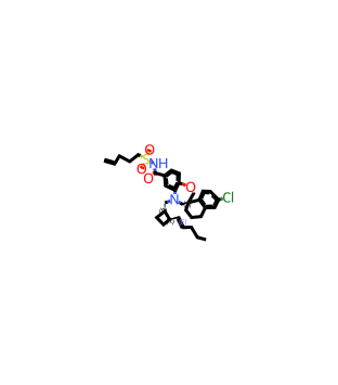 C=CCCCS(=O)(=O)NC(=O)c1ccc2c(c1)N(C[C@H]1CC[C@@H]1/C=C/CCC)C[C@@]1(CCCc3cc(Cl)ccc31)CO2